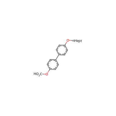 CCCCCCCOc1ccc(-c2ccc(OC(=O)O)cc2)cc1